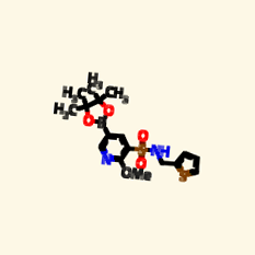 COc1ncc(B2OC(C)(C)C(C)(C)O2)cc1S(=O)(=O)NCc1cccs1